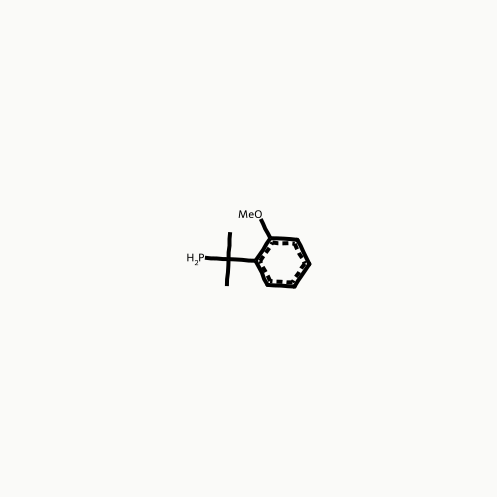 COc1ccccc1C(C)(C)P